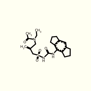 C=C(CN(CC)C(C)=O)CS(=O)(=O)NC(=O)Nc1c2c(cc3c1CCC3)CCC2